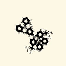 CC(C)(C)c1ccc2c(c1)[Si](c1ccccc1)(c1ccccc1)c1cc(C(C)(C)C)ccc1N2c1cc2c3c(c1)Oc1ccccc1B3c1ccccc1O2